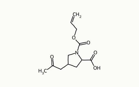 C=CCOC(=O)N1CC(CC(C)=O)CC1C(=O)O